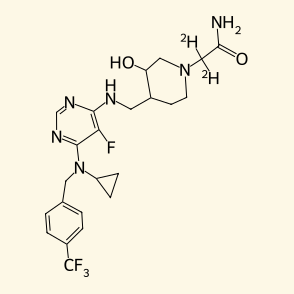 [2H]C([2H])(C(N)=O)N1CCC(CNc2ncnc(N(Cc3ccc(C(F)(F)F)cc3)C3CC3)c2F)C(O)C1